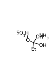 CCC(O)(O)OS(=O)(=O)O.N